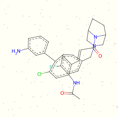 CC(=O)Nc1cc(Cl)c(-c2cccc(N)c2)cc1C=CC(=O)N1C2CCC1CN(Cc1ccc(F)cc1)C2